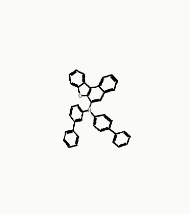 c1ccc(-c2ccc(N(c3cccc(-c4ccccc4)c3)c3cc4ccccc4c4c3oc3ccccc34)cc2)cc1